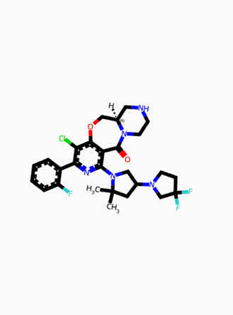 CC1(C)CC(N2CCC(F)(F)C2)CN1c1nc(-c2ccccc2F)c(Cl)c2c1C(=O)N1CCNC[C@@H]1CO2